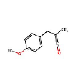 CCOc1ccc(CC(C)=C=O)cc1